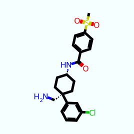 CS(=O)(=O)c1ccc(C(=O)N[C@H]2CC[C@](CN)(c3cccc(Cl)c3)CC2)cc1